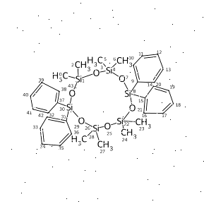 C[Si]1(C)O[Si](C)(C)O[Si](c2ccccc2)(c2ccccc2)O[Si](C)(C)O[Si](C)(C)O[Si](c2ccccc2)(c2ccccc2)O1